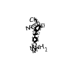 CC(C)(c1ccc(OCc2ncncc2N)cc1)c1cc(Cl)c(OCCCl)c(C#N)c1